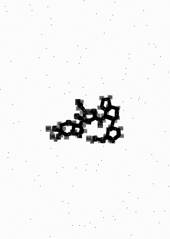 COc1cc(-c2ccc3c(c2NC(=O)N=[S@](=O)(NC#N)c2cnn4c2OCC(C)(C)C4)CCC3)ccn1